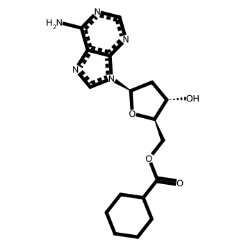 Nc1ncnc2c1ncn2[C@H]1C[C@H](O)[C@@H](COC(=O)C2CCCCC2)O1